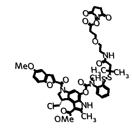 COC(=O)c1c(C)[nH]c2c(OC(=O)N(C)c3ccccc3SSC(C)(C)CC(=O)NCCOCCC(=O)ON3C(=O)CCC3=O)cc3c(c12)[C@H](CCl)CN3C(=O)c1cc2cc(OC)ccc2o1